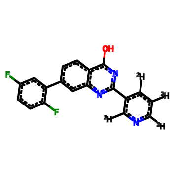 [2H]c1nc([2H])c(-c2nc(O)c3ccc(-c4cc(F)ccc4F)cc3n2)c([2H])c1[2H]